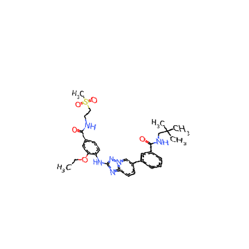 CCOc1cc(C(=O)NCCS(C)(=O)=O)ccc1Nc1nc2ccc(-c3cccc(C(=O)NCC(C)(C)C)c3)cn2n1